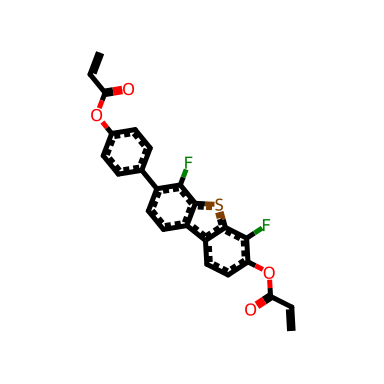 C=CC(=O)Oc1ccc(-c2ccc3c(sc4c(F)c(OC(=O)C=C)ccc43)c2F)cc1